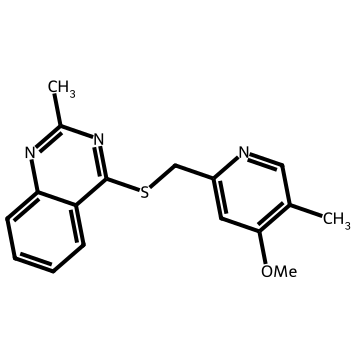 COc1cc(CSc2nc(C)nc3ccccc23)ncc1C